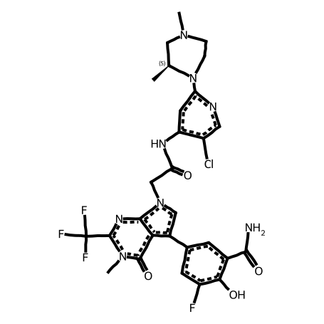 C[C@H]1CN(C)CCN1c1cc(NC(=O)Cn2cc(-c3cc(F)c(O)c(C(N)=O)c3)c3c(=O)n(C)c(C(F)(F)F)nc32)c(Cl)cn1